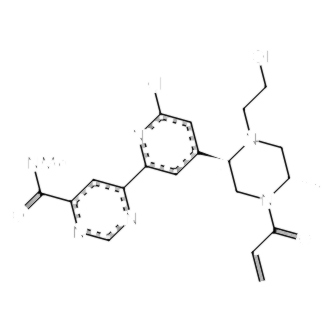 C=CC(=O)N1C[C@@H](c2cc(Cl)nc(-c3cc(C(=O)NC)ncn3)c2)N(CCO)C[C@@H]1C